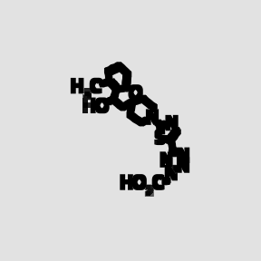 Cc1cccc2c1C(O)CC1(CCN(c3ncc(-c4nnn(CC(=O)O)n4)s3)CC1)O2